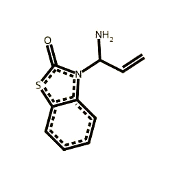 C=CC(N)n1c(=O)sc2ccccc21